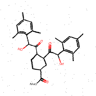 COC(=O)C1CCC(C(=O)C(O)c2c(C)cc(C)cc2C)C(C(=O)C(O)c2c(C)cc(C)cc2C)C1